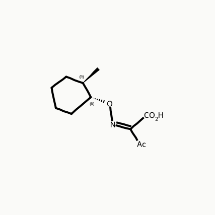 CC(=O)C(=NO[C@@H]1CCCC[C@H]1C)C(=O)O